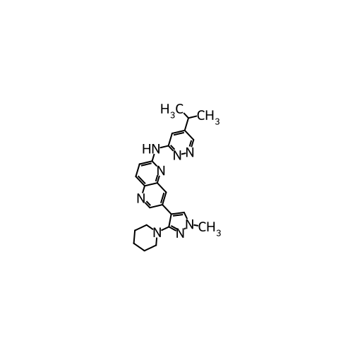 CC(C)c1cnnc(Nc2ccc3ncc(-c4cn(C)nc4N4CCCCC4)cc3n2)c1